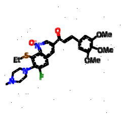 CCSc1c(N2CCN(C)CC2)c(F)cc2cc(C(=O)C=Cc3cc(OC)c(OC)c(OC)c3)c[n+]([O-])c12